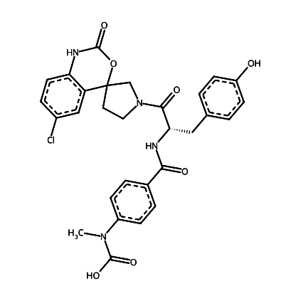 CN(C(=O)O)c1ccc(C(=O)N[C@@H](Cc2ccc(O)cc2)C(=O)N2CCC3(C2)OC(=O)Nc2ccc(Cl)cc23)cc1